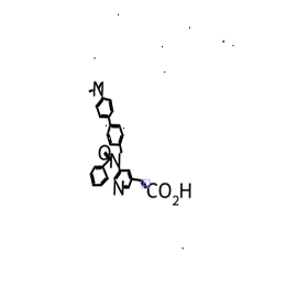 CN(C)c1ccc(-c2ccc(CN(C(=O)c3ccccc3)c3cncc(/C=C/C(=O)O)c3)cc2)cc1